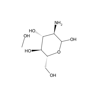 CO.N[C@H]1C(O)O[C@H](CO)[C@@H](O)[C@@H]1O